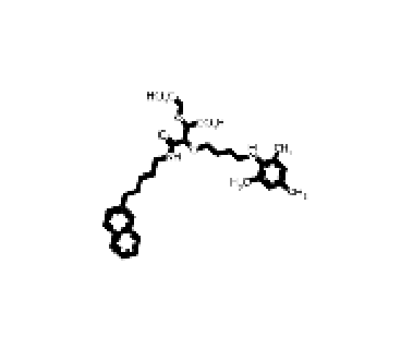 Cc1cc(C)c(NCCCCOC(C(=O)NCCCCCc2ccc3ccccc3c2)C(OCC(=O)O)C(=O)O)c(C)c1